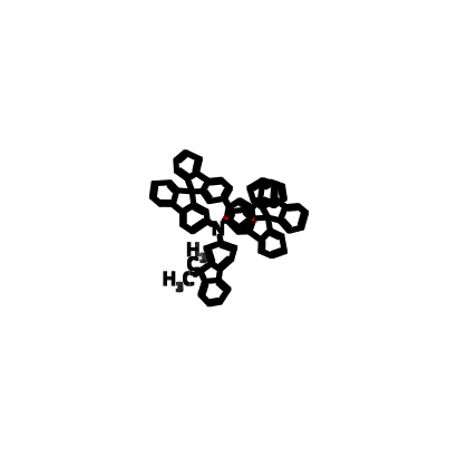 CC1(C)c2ccccc2-c2ccc(N(c3ccc(-c4ccccc4)cc3)c3ccc4c(c3)C3(c5ccccc5-c5ccc(-c6ccc7c(c6)C6(c8ccccc8-c8ccccc86)c6ccccc6-7)cc53)c3ccccc3-4)cc21